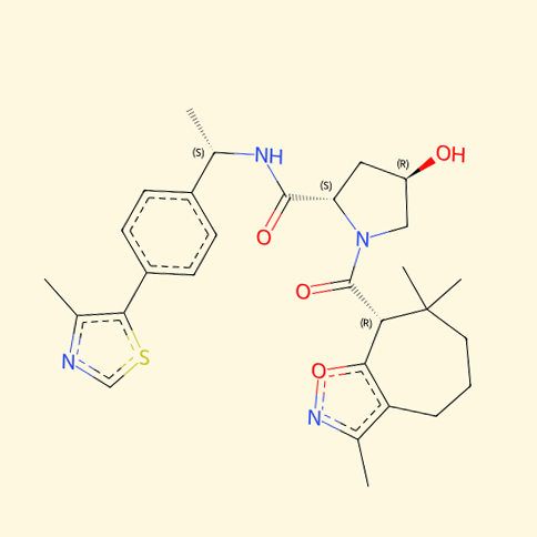 Cc1ncsc1-c1ccc([C@H](C)NC(=O)[C@@H]2C[C@@H](O)CN2C(=O)[C@H]2c3onc(C)c3CCCC2(C)C)cc1